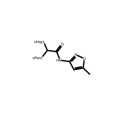 CCCCCCCC(CCCCC)C(=O)Nc1cc(C)on1